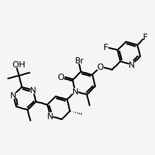 Cc1cnc(C(C)(C)O)nc1C1=NC[C@@H](C)C(n2c(C)cc(OCc3ncc(F)cc3F)c(Br)c2=O)=C1